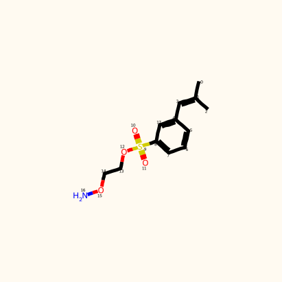 CC(C)=Cc1cccc(S(=O)(=O)OCCON)c1